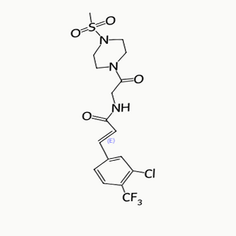 CS(=O)(=O)N1CCN(C(=O)CNC(=O)/C=C/c2ccc(C(F)(F)F)c(Cl)c2)CC1